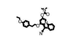 CCOc1ccc(CCOc2cc(OC(=O)N(C)C)cn3c2c(C#N)c2ccccc23)cc1